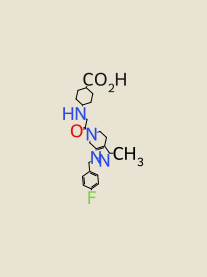 Cc1nn(Cc2ccc(F)cc2)c2c1CCN(C(=O)CN[C@H]1CC[C@H](C(=O)O)CC1)C2